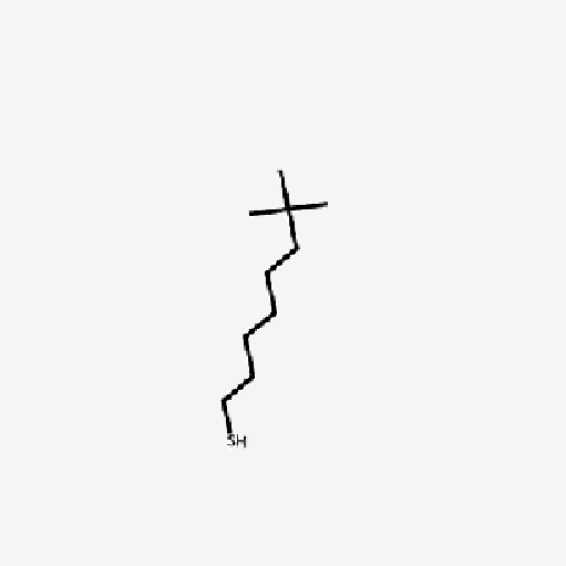 CC(C)(C)CCCCCCS